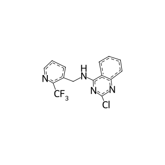 FC(F)(F)c1ncccc1CNc1nc(Cl)nc2ccccc12